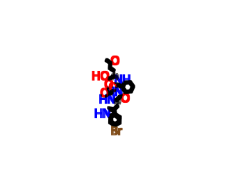 CC(=O)CC[C@H](NC(=O)C1(NC(=O)[C@H](Cc2c[nH]c3cc(Br)ccc23)NC(C)=O)CCCCC1)C(=O)O